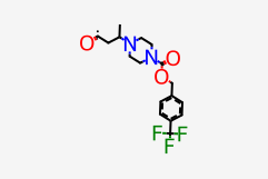 CC(C[C]=O)N1CCN(C(=O)OCc2ccc(C(F)(F)F)cc2)CC1